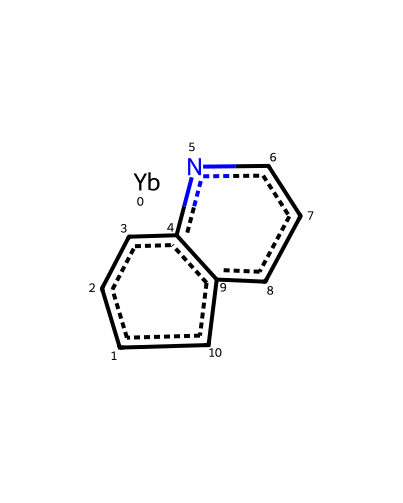 [Yb].c1ccc2ncccc2c1